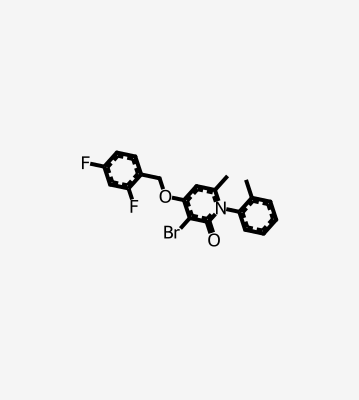 Cc1ccccc1-n1c(C)cc(OCc2ccc(F)cc2F)c(Br)c1=O